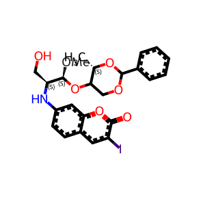 CO[C@@H](OC1COC(c2ccccc2)O[C@H]1C)[C@H](CO)Nc1ccc2cc(I)c(=O)oc2c1